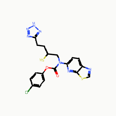 O=C(Oc1ccc(Cl)cc1)N(CC(S)CCc1nn[nH]n1)c1ccc2ncsc2n1